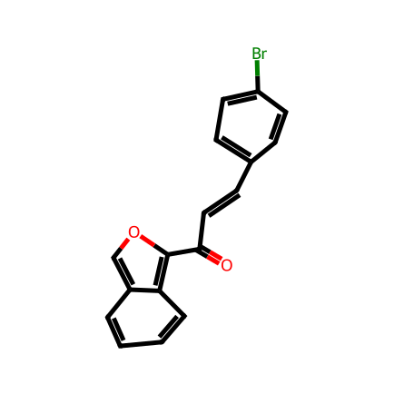 O=C(C=Cc1ccc(Br)cc1)c1occ2ccccc12